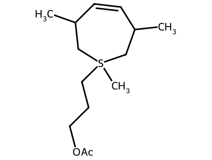 CC(=O)OCCCS1(C)CC(C)C=CC(C)C1